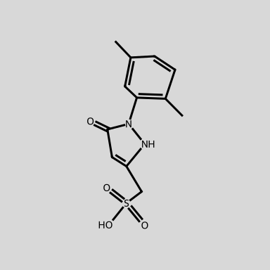 Cc1ccc(C)c(-n2[nH]c(CS(=O)(=O)O)cc2=O)c1